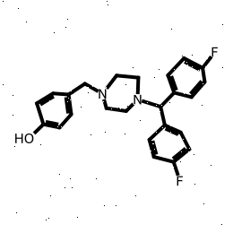 Oc1ccc(CN2CCN(C(c3ccc(F)cc3)c3ccc(F)cc3)CC2)cc1